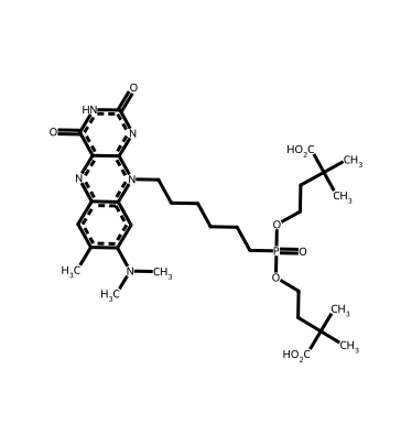 Cc1cc2nc3c(=O)[nH]c(=O)nc-3n(CCCCCCP(=O)(OCCC(C)(C)C(=O)O)OCCC(C)(C)C(=O)O)c2cc1N(C)C